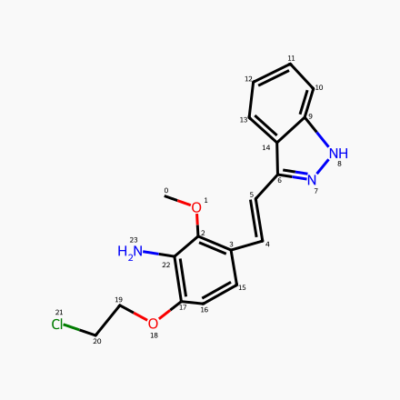 COc1c(/C=C/c2n[nH]c3ccccc23)ccc(OCCCl)c1N